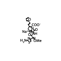 CON=C(C(=O)NC1C(=O)N2C(C(=O)[O-])=C(C=Cc3ccco3)CS[C@@H]12)c1csc(N)n1.[Na+]